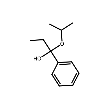 CCC(O)(OC(C)C)c1ccccc1